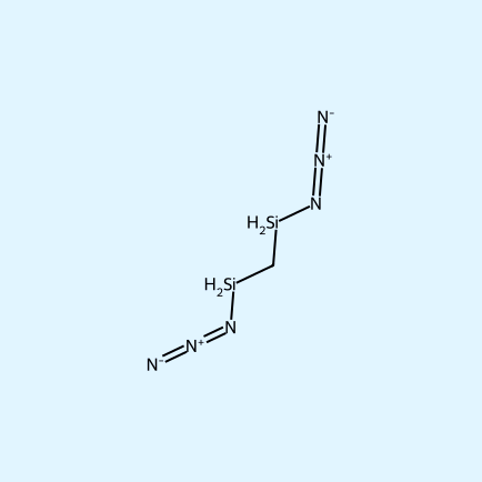 [N-]=[N+]=N[SiH2]C[SiH2]N=[N+]=[N-]